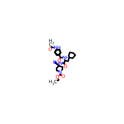 CCOC(=O)N1CCC(C#N)(NC(=O)C(CC2CCCCC2)NC(=O)c2ccc(NC(C)=O)cc2)CC1